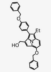 CCc1c(-c2ccc(OCc3ccccc3)cc2)c2c(CO)cc3c(OCc4ccccc4)ccc1n32